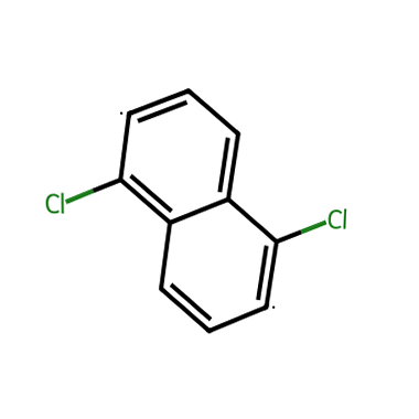 Clc1[c]ccc2c(Cl)[c]ccc12